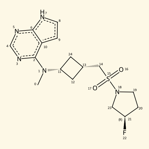 CN(c1ncnc2[nH]ccc12)[C@H]1C[C@@H](CS(=O)(=O)N2CC[C@@H](F)C2)C1